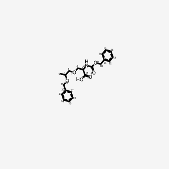 CC(COCC(NC(=O)OCc1ccccc1)C(=O)O)OCc1ccccc1